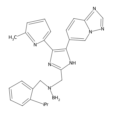 BN(Cc1nc(-c2cccc(C)n2)c(-c2ccc3ncnn3c2)[nH]1)Cc1ccccc1C(C)C